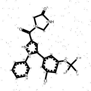 O=C1CN(C(=O)c2cc(-c3cc(Cl)cc(OC(F)(F)F)c3)n(-c3cccnc3)n2)CN1